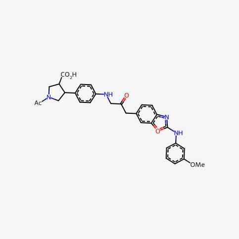 COc1cccc(Nc2nc3ccc(CC(=O)CNc4ccc(C5CN(C(C)=O)CC5C(=O)O)cc4)cc3o2)c1